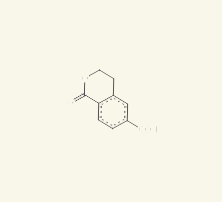 O=C(O)c1ccc2c(c1)CCOC2=O